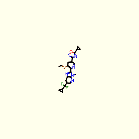 CCSc1cc(-c2noc(C3CC3)n2)cnc1-c1nc2cc(C(F)(F)C3CC3)cnc2n1C